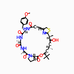 COc1ccc(C[C@@H]2NC(=O)CC[C@H]3CSC(=N3)[C@@H](C)[C@@H](O)C[C@H](C)C[C@@H](C(C)(C)C)OC(=O)[C@@H]3CCCN3C(=O)[C@H](C)NC(=O)[C@H](C)NC2=O)cc1